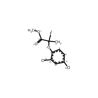 COC(=O)C(C)(F)Oc1ccc(Cl)cc1Cl